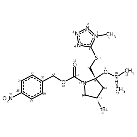 Cn1nnnc1SC[C@@]1(O[SiH](C)C)C[C@H](C(C)(C)C)CN1C(=O)OCc1ccc([N+](=O)[O-])cc1